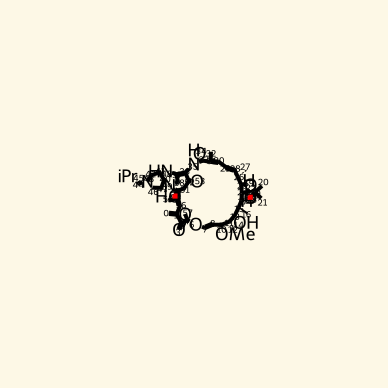 C=C1C(=O)[C@@]2(C)O/C=C/[C@H](OC)[C@@H](C)[C@@H](O)[C@H](C)[C@@H]3OC(C)(C)O[C@H]([C@H]3C)[C@@H](C)/C=C/C=C(/C)C(=O)NC3=C4CN(C5(CCN(CC(C)C)CC5)N4)C(O)(CC3=O)/C(C)=C\1O2